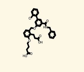 O=C(O)CCCOc1cccc(COc2cc(C(=O)NCc3ccccc3)cc(-c3ccccc3Cl)c2)c1CCC(=O)O